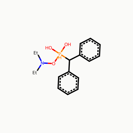 CCN(CC)O[PH](O)(O)C(c1ccccc1)c1ccccc1